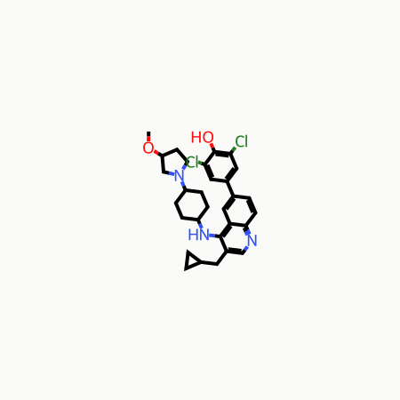 COC1CCN(C2CCC(Nc3c(CC4CC4)cnc4ccc(-c5cc(Cl)c(O)c(Cl)c5)cc34)CC2)C1